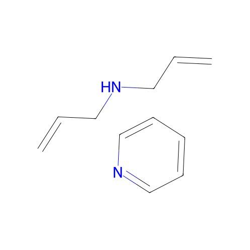 C=CCNCC=C.c1ccncc1